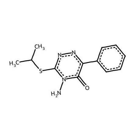 CC(C)Sc1nnc(-c2ccccc2)c(=O)n1N